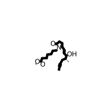 CC#CC[C@@H](C)[C@H](O)C=CC1CCC(=O)N1CCCCCCC(=O)OC